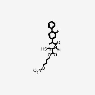 CC(=O)N(C(=O)C(C)c1ccc(-c2ccccc2)c(F)c1)[C@H](CS)C(=O)OCCCCO[N+](=O)[O-]